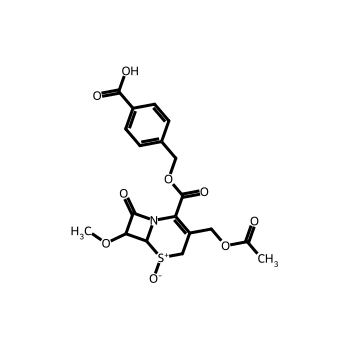 COC1C(=O)N2C(C(=O)OCc3ccc(C(=O)O)cc3)=C(COC(C)=O)C[S+]([O-])C12